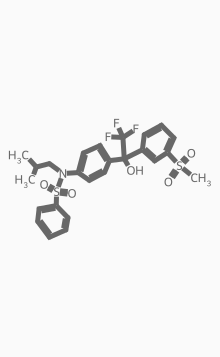 CC(C)CN(c1ccc(C(O)(c2cccc(S(C)(=O)=O)c2)C(F)(F)F)cc1)S(=O)(=O)c1ccccc1